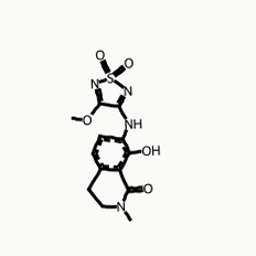 COC1=NS(=O)(=O)N=C1Nc1ccc2c(c1O)C(=O)N(C)CC2